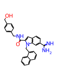 N=C(N)c1ccc2cc(C(=O)NCc3ccc(CO)cc3)n(Cc3cccc4ccccc34)c2c1